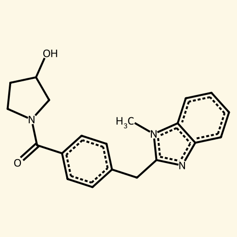 Cn1c(Cc2ccc(C(=O)N3CCC(O)C3)cc2)nc2ccccc21